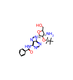 CC(C)(C)[Si](C)(C)OC1[C@@H](N)C(CO)O[C@H]1n1cnc2c(NC(=O)c3ccccc3)ncnc21